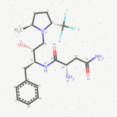 C[C@H]1CC[C@H](C(F)(F)F)N1C[C@@H](O)[C@H](Cc1ccccc1)NC(=O)[C@@H](N)CC(N)=O